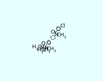 CN(C)C(=O)C(c1ccc([C@H]2CC[C@H](N(C)C(=O)c3ccc(Cl)cc3)CC2)cc1)N(C)C